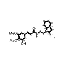 COc1cc(/C=C/C(=O)NCCn2c(C(F)(F)F)cc3ccccc32)cc(O)c1OC